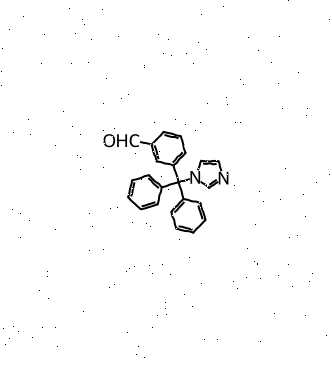 O=Cc1cccc(C(c2ccccc2)(c2ccccc2)n2ccnc2)c1